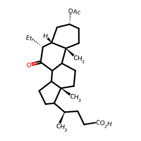 CC[C@H]1C(=O)C2C3CCC([C@H](C)CCC(=O)O)[C@@]3(C)CCC2[C@@]2(C)CC[C@@H](OC(C)=O)C[C@@H]12